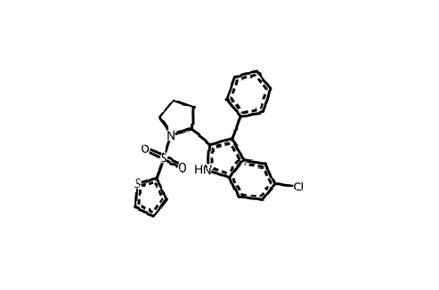 O=S(=O)(c1cccs1)N1CCCC1c1[nH]c2ccc(Cl)cc2c1-c1ccccc1